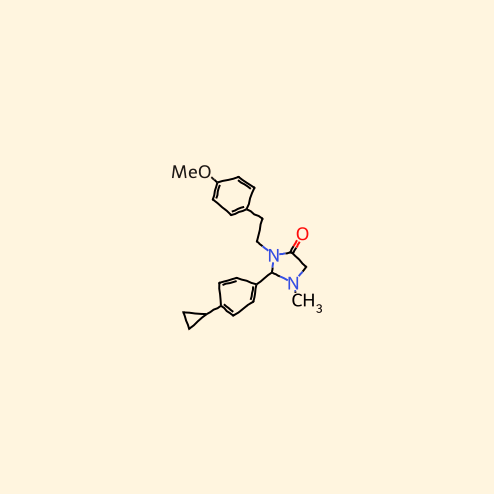 COc1ccc(CCN2C(=O)CN(C)C2c2ccc(C3CC3)cc2)cc1